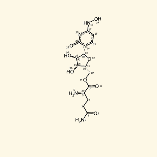 NC(=O)CC[C@@H](N)C(=O)OC[C@H]1O[C@@H](n2ccc(NO)nc2=O)[C@H](O)[C@@H]1O